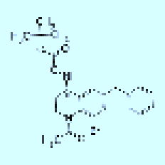 CC(=O)N1CC[C@@H](NOC(=O)OC(C)(C)C)c2cc(Cc3ccccc3)cc(Br)c21